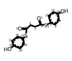 O=C(CCC(=O)Sc1ccc(O)cc1)Sc1ccc(O)cc1